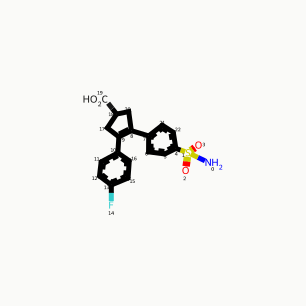 NS(=O)(=O)c1ccc(C2=C(c3ccc(F)cc3)CC(C(=O)O)C2)cc1